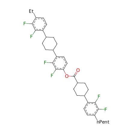 CCCCCc1ccc(C2CCC(C(=O)Oc3ccc(C4CCC(c5ccc(CC)c(F)c5F)CC4)c(F)c3F)CC2)c(F)c1F